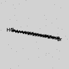 OCCCCCCCCCCCCCCCCCCCCCCCCCCCCCCCCCCCCBr